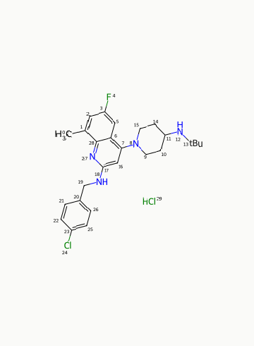 Cc1cc(F)cc2c(N3CCC(NC(C)(C)C)CC3)cc(NCc3ccc(Cl)cc3)nc12.Cl